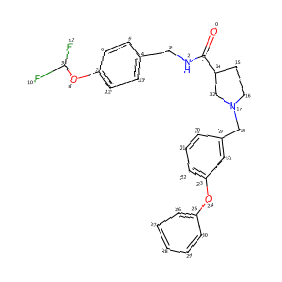 O=C(NCc1ccc(OC(F)F)cc1)C1CCN(Cc2cccc(Oc3ccccc3)c2)C1